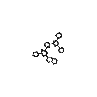 c1ccc(-c2cc(-c3ccccc3)nc(-c3cccc(-c4nc(-c5ccccc5)cc(-c5ccc6ccccc6c5)n4)n3)n2)cc1